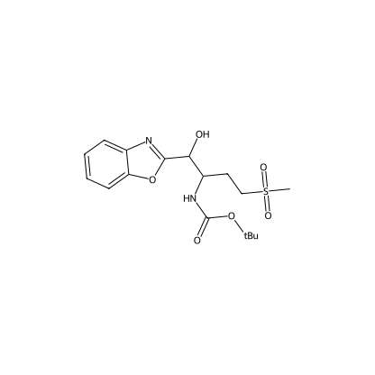 CC(C)(C)OC(=O)NC(CCS(C)(=O)=O)C(O)c1nc2ccccc2o1